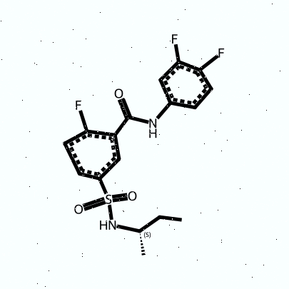 CC[C@H](C)NS(=O)(=O)c1ccc(F)c(C(=O)Nc2ccc(F)c(F)c2)c1